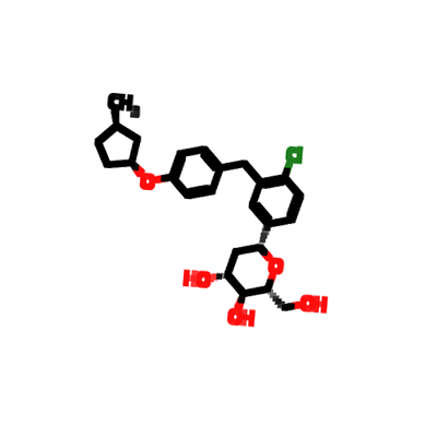 C[C@@H]1CC[C@H](Oc2ccc(Cc3cc([C@H]4C[C@@H](O)[C@H](O)[C@@H](CO)O4)ccc3Cl)cc2)C1